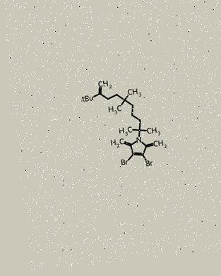 C=C(CCC(C)(C)CCCC(C)(C)n1c(=C)c(Br)c(Br)c1=C)C(C)(C)C